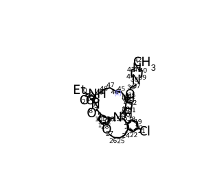 CCC(=O)NS1(=O)=NC(=O)c2ccc3c(c2)N(Cc2ccc(Cl)cc2CCCCO3)C[C@@H]2CC[C@H]2[C@@H](OCCN2CCN(C)CC2)/C=C/CCC1